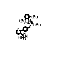 CCCCc1cn(-c2c(C(C)(C)C)cccc2C(C)(C)C)c(=O)n1Cc1ccc(-c2ncccc2-c2nnn[nH]2)cc1